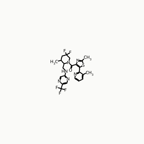 Cc1nc(C(=O)N2CC(F)(F)CC(C)C2CNc2cnc(C(F)(F)F)cn2)c(-c2ncccc2C)s1